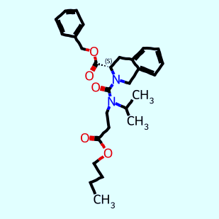 CCCCOC(=O)CCN(C(=O)N1Cc2ccccc2C[C@H]1C(=O)OCc1ccccc1)C(C)C